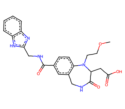 COCCN1c2ccc(C(=O)NCc3nc4ccccc4[nH]3)cc2CNC(=O)C1CC(=O)O